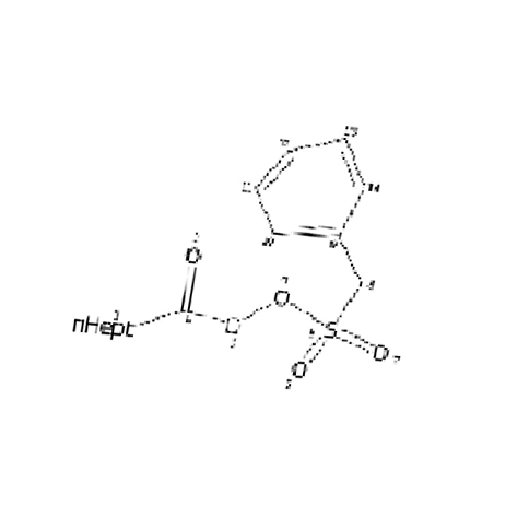 CCCCCCCC(=O)OOS(=O)(=O)Cc1ccccc1